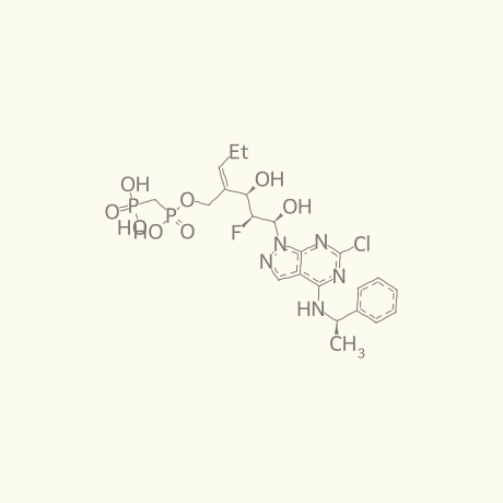 CC/C=C(/COP(=O)(O)CP(=O)(O)O)[C@@H](O)[C@H](F)[C@@H](O)n1ncc2c(N[C@H](C)c3ccccc3)nc(Cl)nc21